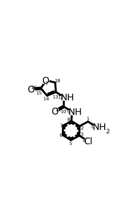 NCc1c(Cl)cccc1NC(=O)NC1=CC(=O)OC1